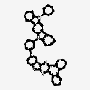 c1ccc(-n2c3ccccc3c3cc4c(cc32)c2ccccc2n4-c2cccc(-c3ccc4sc5nc6c7ccccc7c7ccccc7c6nc5c4c3)c2)cc1